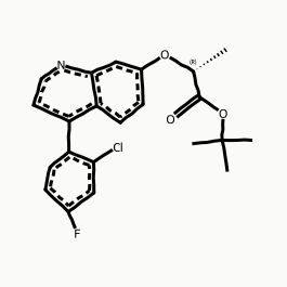 C[C@@H](Oc1ccc2c(-c3ccc(F)cc3Cl)ccnc2c1)C(=O)OC(C)(C)C